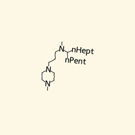 CCCCCCCC(CCCCC)N(C)CCCN1CCN(C)CC1